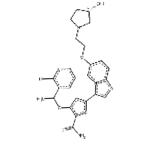 CC(Oc1cc(-c2cnc3ccc(OCCN4CC[C@H](O)C4)cn23)sc1C(N)=O)c1ccccc1Cl